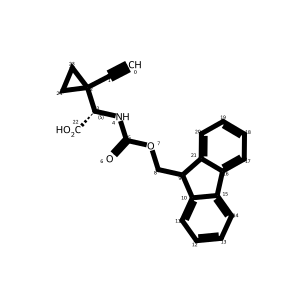 C#CC1([C@H](NC(=O)OCC2c3ccccc3-c3ccccc32)C(=O)O)CC1